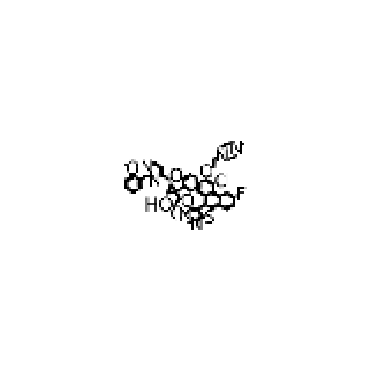 COc1ccccc1-c1nccc(COc2ccccc2C2([C@@H](Oc3ncnc4sc5c6ccc(F)cc6c6c(Cl)c(OCCN7CCN(C)CC7)ccc6c5c34)C(=O)O)CC2)n1